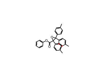 Cc1ccc(C2(C(=O)Oc3ccccc3)OC2(c2ccc(C)cc2)c2ccc(C)cc2)cc1